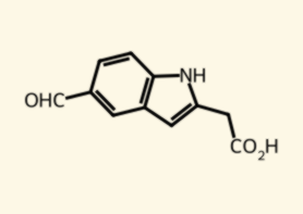 O=Cc1ccc2[nH]c(CC(=O)O)cc2c1